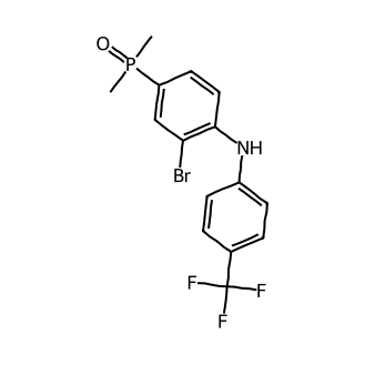 CP(C)(=O)c1ccc(Nc2ccc(C(F)(F)F)cc2)c(Br)c1